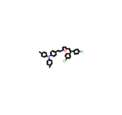 Cc1ccc(N(c2ccc(C)cc2)c2ccc(C=Cc3ccc(C=C(c4ccc(Cl)cc4)c4ccc(Cl)cc4)o3)cc2)cc1